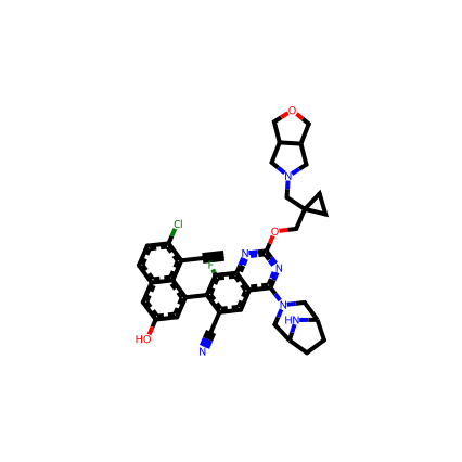 C#Cc1c(Cl)ccc2cc(O)cc(-c3c(C#N)cc4c(N5CC6CCC(C5)N6)nc(OCC5(CN6CC7COCC7C6)CC5)nc4c3F)c12